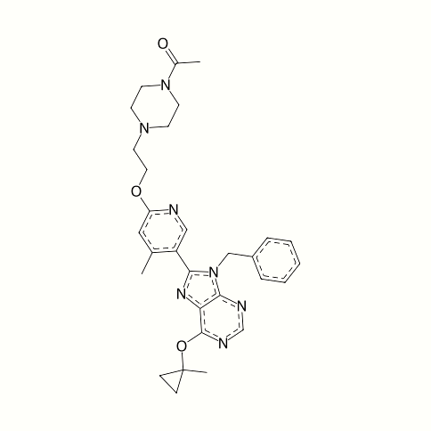 CC(=O)N1CCN(CCOc2cc(C)c(-c3nc4c(OC5(C)CC5)ncnc4n3Cc3ccccc3)cn2)CC1